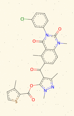 Cc1ccsc1C(=O)Oc1c(C(=O)c2ccc3c(c2C)c(=O)n(-c2cccc(Cl)c2)c(=O)n3C)c(C)nn1C